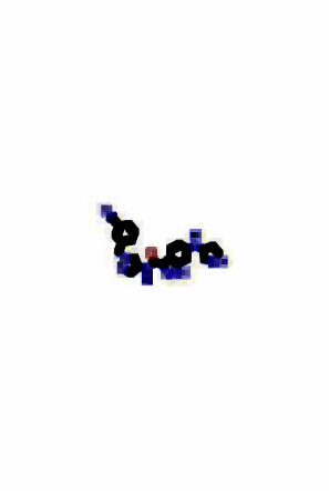 N#Cc1cccc(Cn2cc(NC(=O)c3n[nH]c4cc(NC5CCNC5)ccc34)cn2)c1